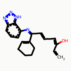 C=C\C(O)=C/C=C/C(=N/c1cccc2nn[nH]c12)C1=CCCCC1